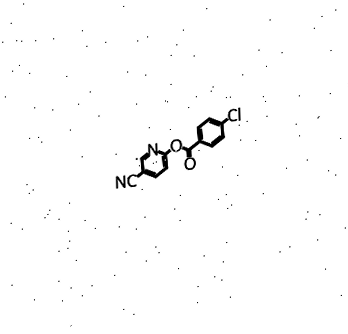 N#Cc1[c]nc(OC(=O)c2ccc(Cl)cc2)cc1